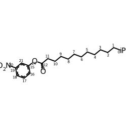 CC(C)CCCCCCCCCCCC(=O)Oc1cccc([N+](=O)[O-])c1